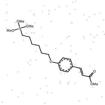 COC(=O)/C=C/c1ccc(OCCCCCC[Si](OC)(OC)OC)cc1